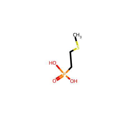 CSCCP(=O)(O)O